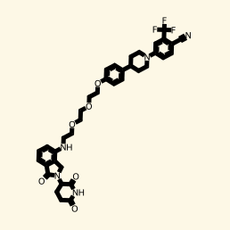 N#Cc1ccc(N2CCC(c3ccc(OCCOCCOCCNc4cccc5c4CN(C4CCC(=O)NC4=O)C5=O)cc3)CC2)cc1C(F)(F)F